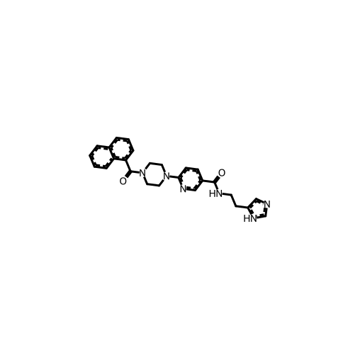 O=C(NCCc1cnc[nH]1)c1ccc(N2CCN(C(=O)c3cccc4ccccc34)CC2)nc1